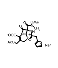 CON(C)C(=O)[C@@]1(NC(=O)Cc2cccs2)C(=O)N2C(C(=O)[O-])=C(COC(C)=O)CS[C@@H]21.[Na+]